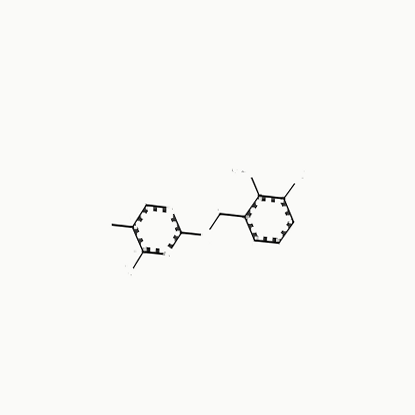 COc1c(O)cccc1COc1ncc(F)c(N)n1